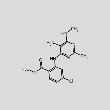 CNc1nc(C)nc(Nc2cc(Cl)ccc2C(=O)OC)c1N